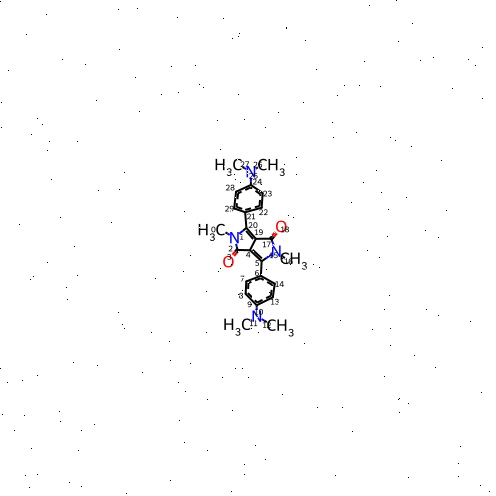 CN1C(=O)C2=C(c3ccc(N(C)C)cc3)N(C)C(=O)C2=C1c1ccc(N(C)C)cc1